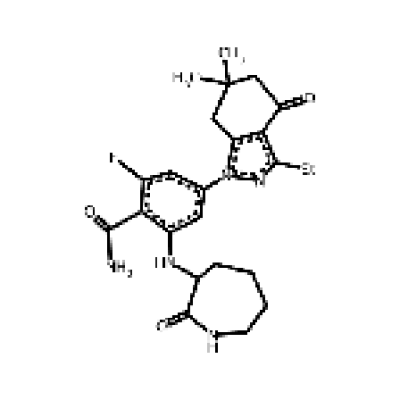 CCc1nn(-c2cc(F)c(C(N)=O)c(NC3CCCCNC3=O)c2)c2c1C(=O)CC(C)(C)C2